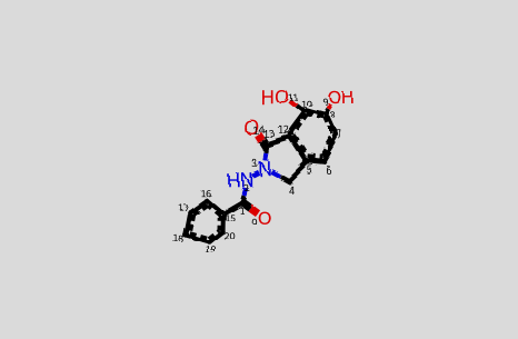 O=C(NN1Cc2ccc(O)c(O)c2C1=O)c1ccccc1